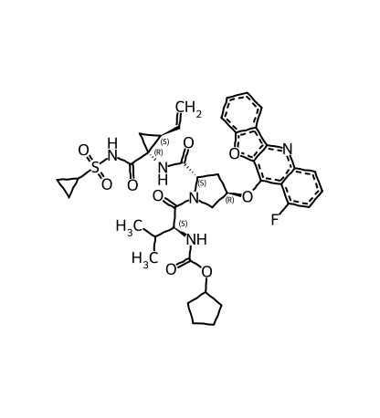 C=C[C@@H]1C[C@]1(NC(=O)[C@@H]1C[C@@H](Oc2c3oc4ccccc4c3nc3cccc(F)c23)CN1C(=O)[C@@H](NC(=O)OC1CCCC1)C(C)C)C(=O)NS(=O)(=O)C1CC1